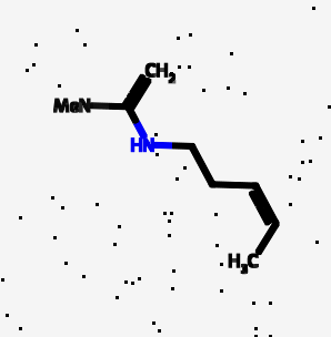 C=C(NC)NCC/C=C\C